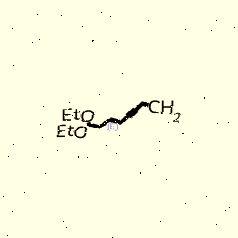 C=CC#C/C=C/CC(OCC)OCC